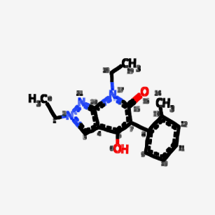 CCn1cc2c(O)c(-c3ccccc3C)c(=O)n(CC)c2n1